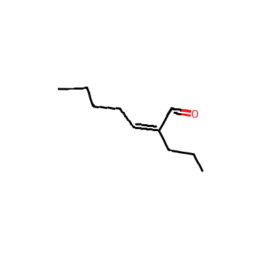 CCCCC=C(C=O)CCC